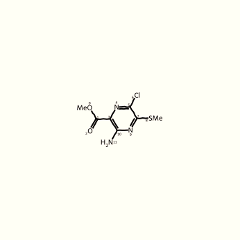 COC(=O)c1nc(Cl)c(SC)nc1N